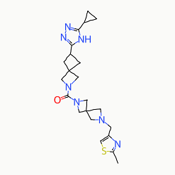 Cc1nc(CN2CC3(C2)CN(C(=O)N2CC4(CC(c5nnc(C6CC6)[nH]5)C4)C2)C3)cs1